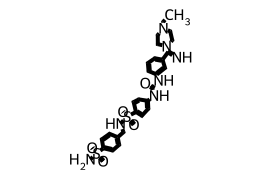 CCN1CCN(C(=N)c2cccc(NC(=O)Nc3ccc(S(=O)(=O)NCc4ccc(S(N)(=O)=O)cc4)cc3)c2)CC1